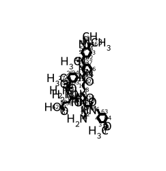 COc1ccc(CNC(=O)[C@H](CCN)NC(=O)[C@H](CCC(=O)N(c2ccc(C)c(S(N)(=O)=O)c2)c2nccc(N(C)c3ccc4c(C)n(C)nc4c3)n2)NC(=O)[C@@H](N)CCC(=O)O)cc1